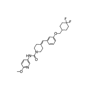 COc1ccc(NC(=O)N2CCC(=Cc3cccc(OCC4CCC(F)(F)CC4)c3)CC2)cn1